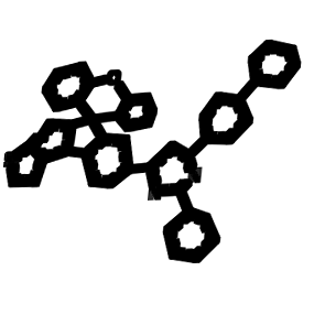 c1ccc(-c2ccc(-c3cc(-c4ccc5c(c4)C4(c6ccccc6Oc6ccccc64)c4ccc6sccc6c4-5)nc(-c4ccccc4)n3)cc2)cc1